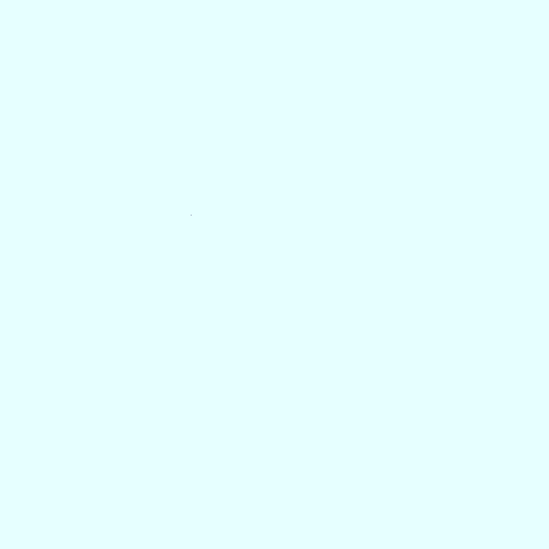 CCC(C)(C)C(=O)OC1CCC(C(=O)OC(C)C)CC1OC(C)(C)C